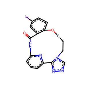 O=C1Nc2cccc(n2)-c2nncn2CCCOc2ccc(I)cc21